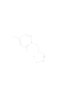 Cc1cc(O)cc(C)c1CC1CCCC1